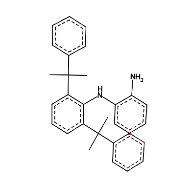 CC(C)(c1ccccc1)c1cccc(C(C)(C)c2ccccc2)c1Nc1ccccc1N